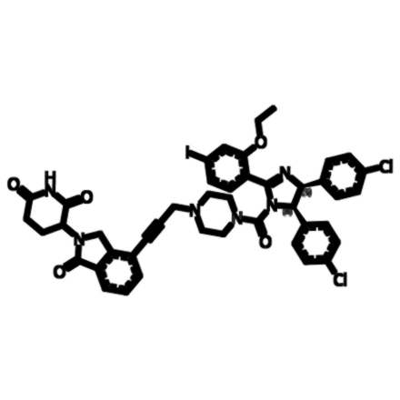 CCOc1cc(I)ccc1C1=N[C@@H](c2ccc(Cl)cc2)[C@@H](c2ccc(Cl)cc2)N1C(=O)N1CCN(CC#Cc2cccc3c2CN(C2CCC(=O)NC2=O)C3=O)CC1